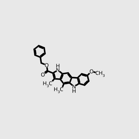 COc1ccc2[nH]c3c(C)c4c(C)c(C(=O)OCc5ccccc5)[nH]c4cc3c2c1